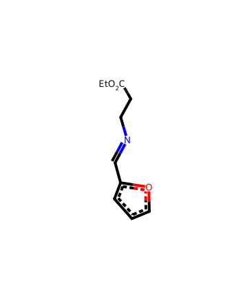 CCOC(=O)CCN=Cc1ccco1